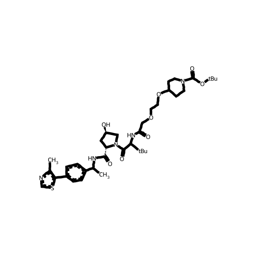 Cc1ncsc1-c1ccc(C(C)NC(=O)[C@@H]2C[C@@H](O)CN2C(=O)C(NC(=O)COCCOC2CCN(C(=O)OC(C)(C)C)CC2)C(C)(C)C)cc1